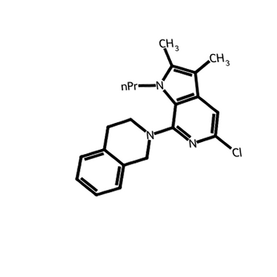 CCCn1c(C)c(C)c2cc(Cl)nc(N3CCc4ccccc4C3)c21